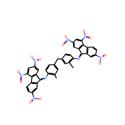 Cc1cc(Cc2ccc(N=C3c4cc([N+](=O)[O-])ccc4-c4c3cc([N+](=O)[O-])cc4[N+](=O)[O-])c(C)c2)ccc1N=C1c2cc([N+](=O)[O-])ccc2-c2c1cc([N+](=O)[O-])cc2[N+](=O)[O-]